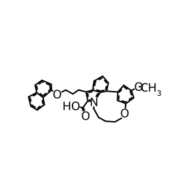 COc1cc2cc(c1)-c1cccc3c(CCCOc4cccc5ccccc45)c(C(=O)O)n(c13)CCCCCO2